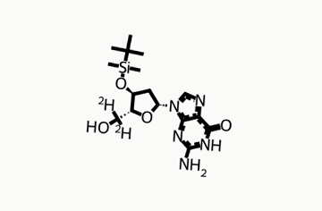 [2H]C([2H])(O)[C@H]1O[C@@H](n2cnc3c(=O)[nH]c(N)nc32)C[C@@H]1O[Si](C)(C)C(C)(C)C